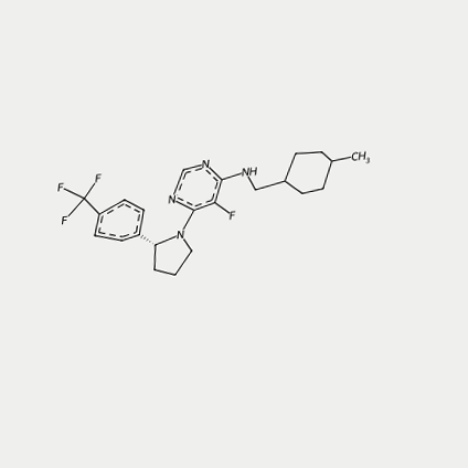 CC1CCC(CNc2ncnc(N3CCC[C@@H]3c3ccc(C(F)(F)F)cc3)c2F)CC1